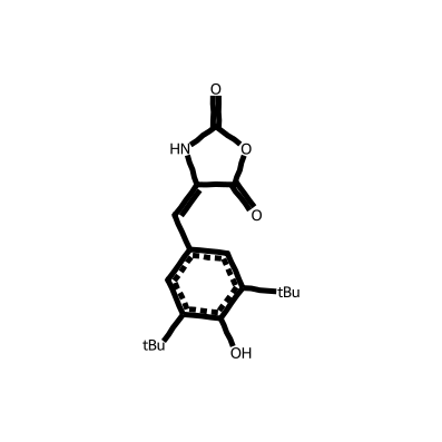 CC(C)(C)c1cc(C=C2NC(=O)OC2=O)cc(C(C)(C)C)c1O